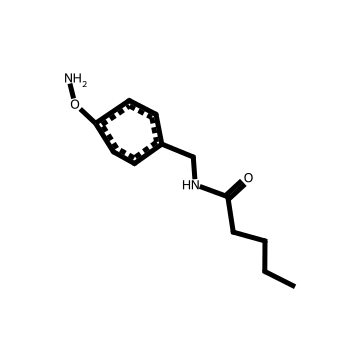 CCCCC(=O)NCc1ccc(ON)cc1